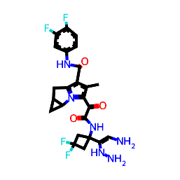 Cc1c(C(=O)Nc2ccc(F)c(F)c2)c2n(c1C(=O)C(=O)NC1(/C(=C/N)NN)CC(F)(F)C1)C1CC1C2